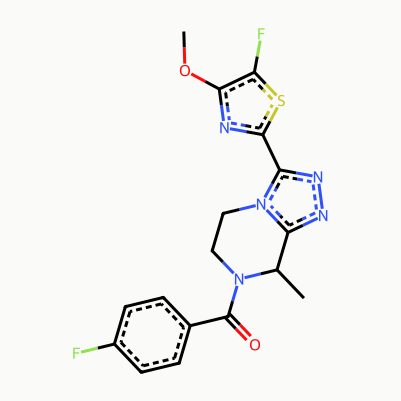 COc1nc(-c2nnc3n2CCN(C(=O)c2ccc(F)cc2)C3C)sc1F